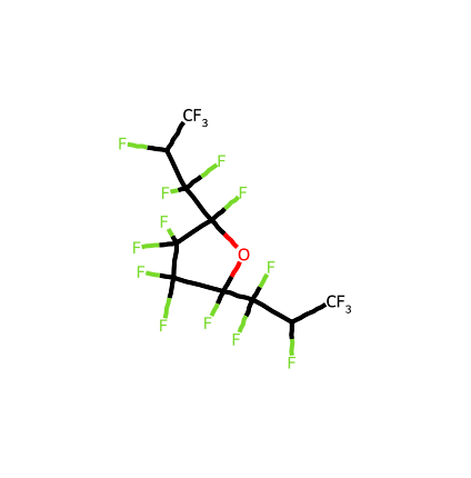 FC(C(F)(F)F)C(F)(F)C1(F)OC(F)(C(F)(F)C(F)C(F)(F)F)C(F)(F)C1(F)F